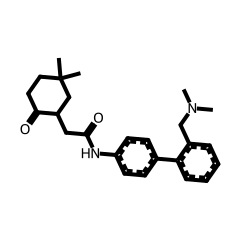 CN(C)Cc1ccccc1-c1ccc(NC(=O)CC2CC(C)(C)CCC2=O)cc1